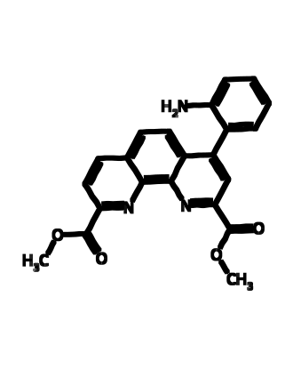 COC(=O)c1ccc2ccc3c(-c4ccccc4N)cc(C(=O)OC)nc3c2n1